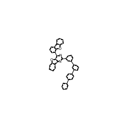 c1ccc(-c2ccc(-c3cccc(-c4cccc(-c5nc(-c6cccc7c6oc6ccccc67)c6oc7ccccc7c6n5)c4)c3)cc2)cc1